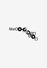 COc1ccc(-c2csc(N3CCC(S(=O)(=O)c4ccc(Cl)cc4Cl)CC3)n2)cc1